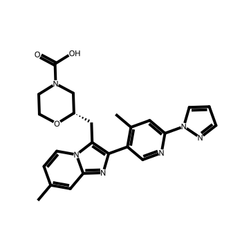 Cc1ccn2c(C[C@H]3CN(C(=O)O)CCO3)c(-c3cnc(-n4cccn4)cc3C)nc2c1